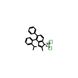 CC1=Cc2c(ccc(-c3ccccc3)c2-c2ccccc2C(C)C)[CH]1[Zr]([Cl])[Cl]